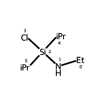 CCN[Si](Cl)(C(C)C)C(C)C